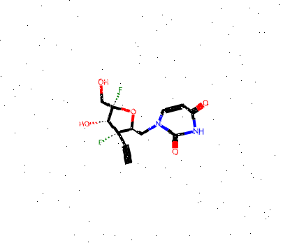 C#C[C@]1(F)[C@H](Cn2ccc(=O)[nH]c2=O)O[C@](F)(CO)[C@H]1O